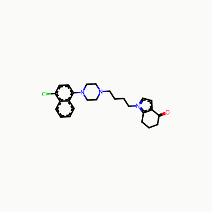 O=C1CCCc2c1ccn2CCCCN1CCN(c2ccc(Cl)c3ccccc23)CC1